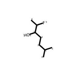 CC(C)CCC(O)C(C)F